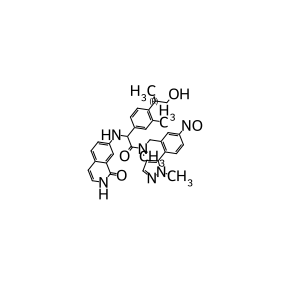 Cc1cc(C(Nc2ccc3cc[nH]c(=O)c3c2)C(=O)N(C)Cc2cc(N=O)ccc2-c2ccnn2C)ccc1[C@@H](C)CO